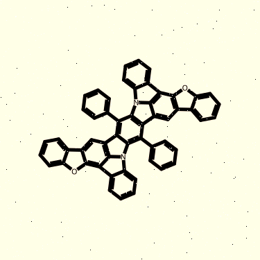 c1ccc(-c2c3c4cc5c6ccccc6oc5c5c6ccccc6n(c3c(-c3ccccc3)c3c6cc7c8ccccc8oc7c7c8ccccc8n(c23)c67)c45)cc1